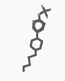 CCCCCC1CCC(c2ccc(OC(F)(F)F)nc2)CC1